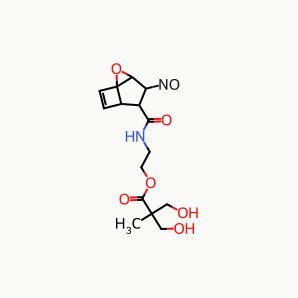 CC(CO)(CO)C(=O)OCCNC(=O)C1C(N=O)C2OC23C=CC13